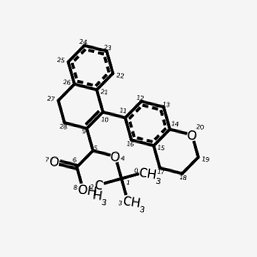 CC(C)(C)OC(C(=O)O)C1=C(c2ccc3c(c2)CCCO3)c2ccccc2CC1